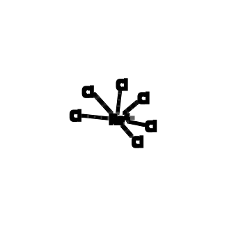 [Cl][Re-4]([Cl])([Cl])([Cl])([Cl])[Cl]